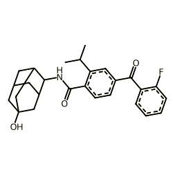 CC(C)c1cc(C(=O)c2ccccc2F)ccc1C(=O)NC1C2CC3CC1CC(O)(C3)C2